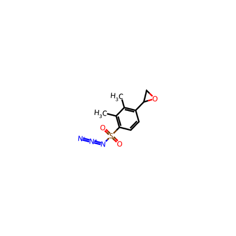 Cc1c(C2CO2)ccc(S(=O)(=O)N=[N+]=[N-])c1C